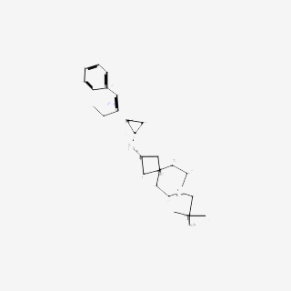 CC/C(=C\c1ccccc1)[C@@H]1C[C@H]1NC1CC2(CCN(CC(C)(C)O)CC2)C1